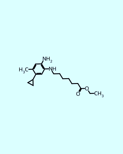 CCOC(=O)CCCCCCNc1cc(C2CC2)c(C)cc1N